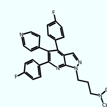 CN(C)CCCn1ncc2c(-c3ccc(F)cc3)c(-c3ccncc3)c(-c3ccc(F)cc3)nc21